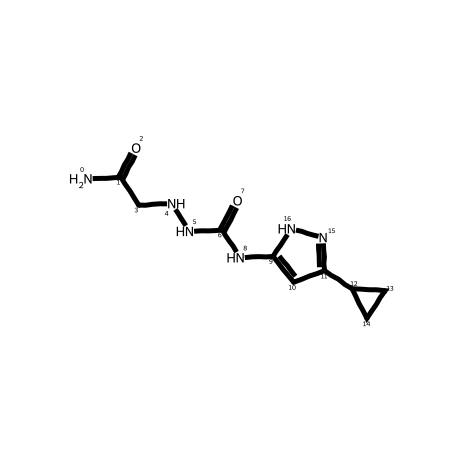 NC(=O)CNNC(=O)Nc1cc(C2CC2)n[nH]1